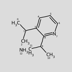 CC(C)c1cccnc1C(C)C.N